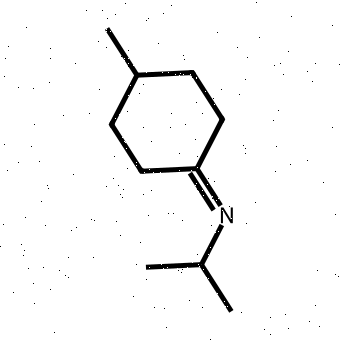 CC1CCC(=NC(C)C)CC1